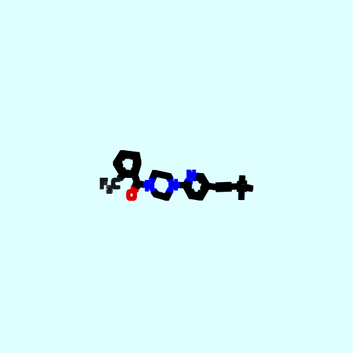 C[Si](C)(C)C#Cc1ccc(N2CCN(C(=O)c3ccccc3C(F)(F)F)CC2)nc1